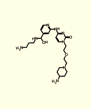 NCCCNC(O)c1ccnc(Nc2ccn(CCOCCN3CCC(N)CC3)c(=O)n2)c1